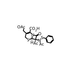 CC(=O)OCC1=C(C(=O)O)N2C(=O)[C@](C(C)=O)(N(Sc3ccccc3)C(C)=O)[C@H]2SC1